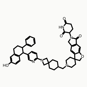 O=C1CCC(N2Cc3cc4c(cc3C2=O)OCC42CCN(CC3CCC4(CC3)CN(c3ccc(C5c6ccc(O)cc6CCC5c5ccccc5)cn3)C4)CC2)C(=O)N1